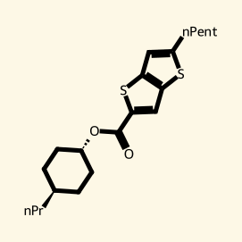 CCCCCc1cc2sc(C(=O)O[C@H]3CC[C@H](CCC)CC3)cc2s1